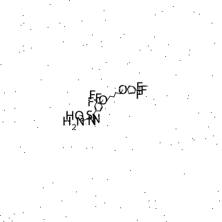 C[C@](N)(CO)c1nnc(-c2ccc(OCCCCCOc3ccc(C(F)(F)F)cc3)c(C(F)(F)F)c2)s1